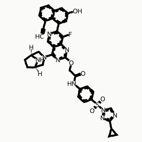 C#Cc1cccc2cc(O)cc(-c3ncc4c(N5C[C@H]6CC[C@@H](C5)N6)nc(OCC(=O)Nc5ccc(S(=O)(=O)n6cnc(C7CC7)n6)cc5)nc4c3F)c12